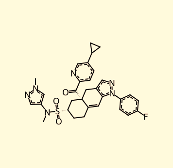 CN(c1cnn(C)c1)S(=O)(=O)[C@H]1CCC2=Cc3c(cnn3-c3ccc(F)cc3)C[C@]2(C(=O)c2ccc(C3CC3)cn2)C1